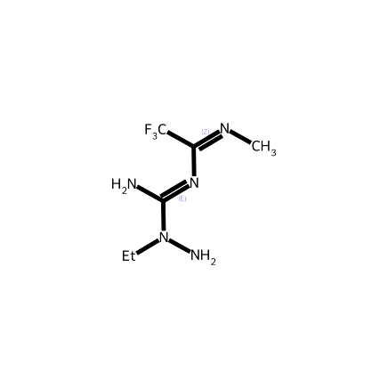 CCN(N)/C(N)=N/C(=N\C)C(F)(F)F